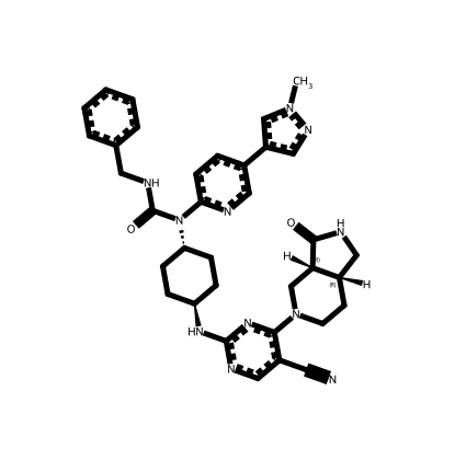 Cn1cc(-c2ccc(N(C(=O)NCc3ccccc3)[C@H]3CC[C@H](Nc4ncc(C#N)c(N5CC[C@H]6CNC(=O)[C@H]6C5)n4)CC3)nc2)cn1